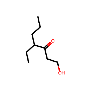 CCCC(CC)C(=O)CCO